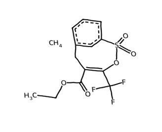 C.CCOC(=O)C1=C(C(F)(F)F)OS(=O)(=O)c2cccc(c2)C1